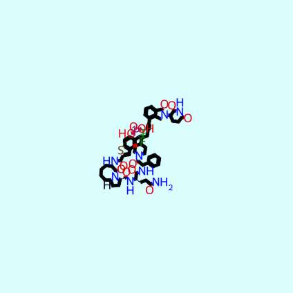 NC(=O)CC[C@H](NC(=O)[C@@H]1CC[C@@H]2CCCC[C@H](NC(=O)c3cc4cc(C(F)(F)P(=O)(O)O)ccc4s3)C(=O)N21)C(=O)N[C@H](C(=O)N1CCC(CCC#Cc2cccc3c2CN(C2CCC(=O)NC2=O)C3=O)CC1)c1ccccc1